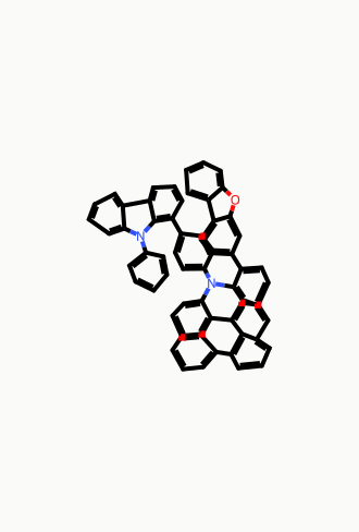 c1ccc(-c2cccc3cccc(-c4ccccc4N(c4ccc(-c5cccc6c7ccccc7n(-c7ccccc7)c56)cc4)c4ccccc4-c4ccc5c(c4)oc4ccccc45)c23)cc1